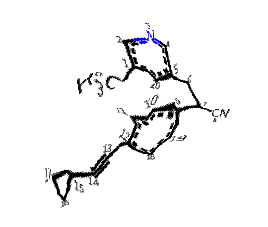 Cc1cncc(CC(C#N)c2ccc(C#CC3CC3)cc2)c1